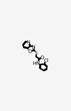 O=C(CSc1nc2ncccc2o1)Nc1ccccc1Cl